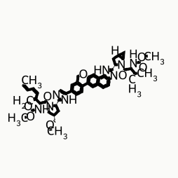 C=C(/C=C\C=C/C)[C@@H](NC(=O)OC)C(=O)N1C[C@@H](COC)C[C@H]1c1ncc(-c2ccc3c(c2)COc2cc4c(ccc5nc([C@@H]6C[C@@H]7CC7N6C(=O)[C@@H](NC(=O)OC)C(C)C)[nH]c54)cc2-3)[nH]1